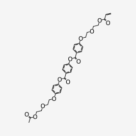 C=CC(=O)OCCOCCOc1ccc(C(=O)Oc2ccc(C(=O)Oc3ccc(OCCOCCOC(C)=O)cc3)cc2)cc1